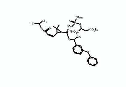 CC1(C)C(/C=C\C(=O)OC(C(F)(F)F)C(F)(F)F)C1C(=O)OC(C#N)c1cccc(Oc2ccccc2)c1.CCOC(=O)CC(SP(=S)(OC)OC)C(=O)OCC